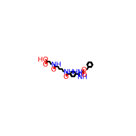 N=C(NC(=O)OCc1ccccc1)c1ccc(C(=O)NCCCCC(=O)NCCC(=O)O)cc1